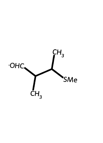 CSC(C)C(C)[C]=O